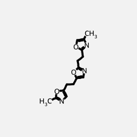 Cc1coc(CCc2ncc(CCc3cnc(C)o3)o2)n1